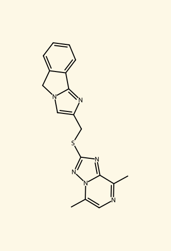 Cc1ncc(C)n2nc(SCc3cn4c(n3)-c3ccccc3C4)nc12